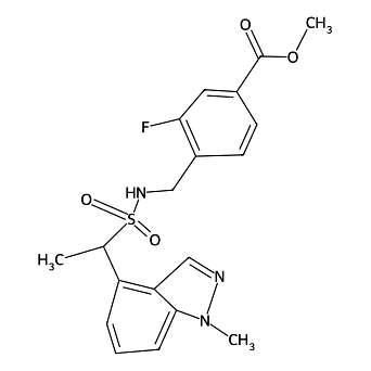 COC(=O)c1ccc(CNS(=O)(=O)C(C)c2cccc3c2cnn3C)c(F)c1